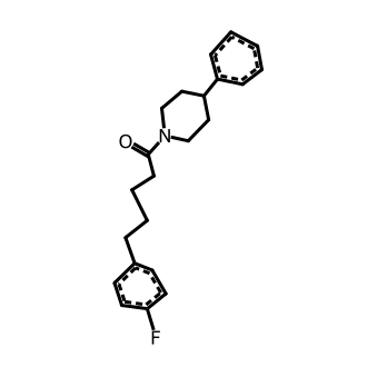 O=C(CCCCc1ccc(F)cc1)N1CCC(c2ccccc2)CC1